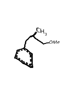 [CH2]OCC(C)Cc1ccccc1